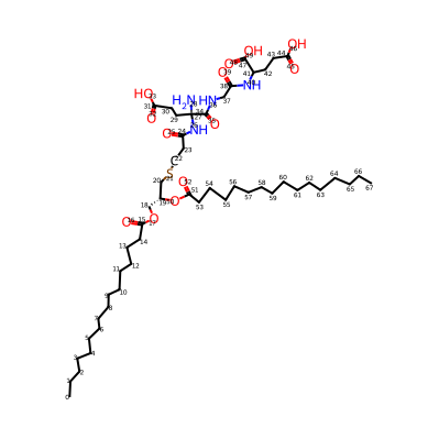 CCCCCCCCCCCCCCCC(=O)OC[C@H](CSCCC(=O)N[C@](N)(CCC(=O)O)C(=O)NCC(=O)NC(CCC(=O)O)C(=O)O)OC(=O)CCCCCCCCCCCCCCC